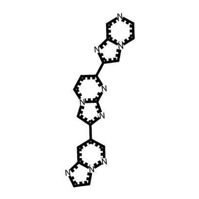 c1cn2cc(-c3ccn4cc(-c5cnn6ccnc6c5)nc4n3)nc2cn1